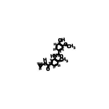 COc1cc(C(=O)Nc2cc(C(=O)NC3CC3)ccc2C)ccc1O